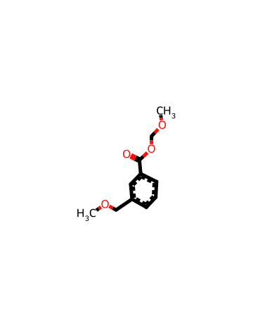 COCOC(=O)c1cccc(COC)c1